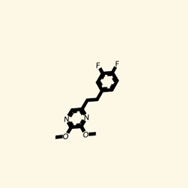 COc1ncc(CCc2ccc(F)c(F)c2)nc1OC